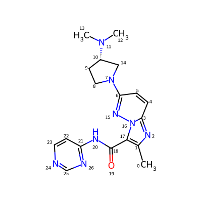 Cc1nc2ccc(N3CC[C@H](N(C)C)C3)nn2c1C(=O)Nc1ccncn1